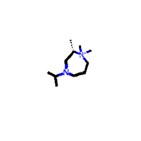 CC(C)N1CCC[N+](C)(C)[C@@H](C)C1